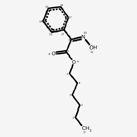 CCCCCCOC(=O)C(=NO)c1ccccc1